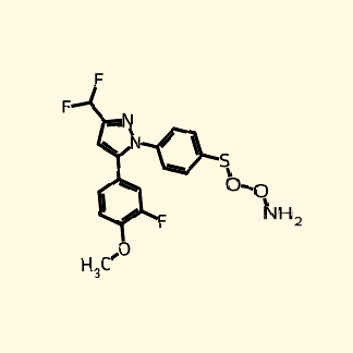 COc1ccc(-c2cc(C(F)F)nn2-c2ccc(SOON)cc2)cc1F